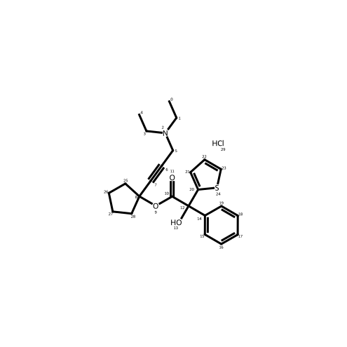 CCN(CC)CC#CC1(OC(=O)C(O)(c2ccccc2)c2cccs2)CCCC1.Cl